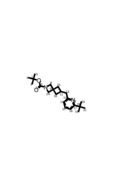 CC(C)(C)OC(=O)N1CC2(CC(Cc3cccc(C(C)(C)C)n3)C2)C1